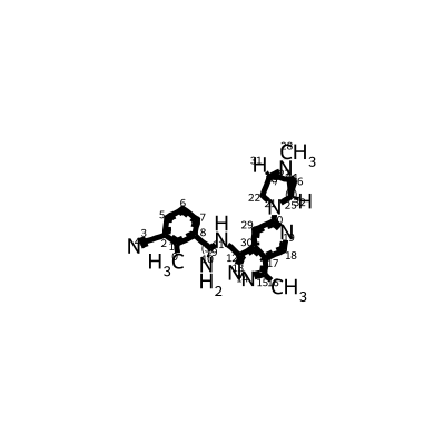 Cc1c(C#N)cccc1[C@@H](N)Nc1nnc(C)c2cnc(N3C[C@H]4C[C@@H]3CN4C)cc12